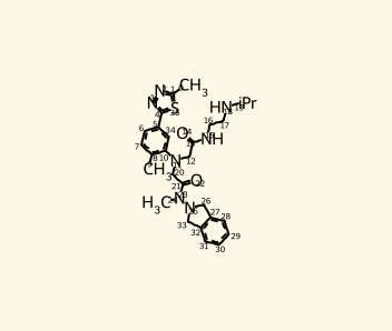 Cc1nnc(-c2ccc(C)c(N(CC(=O)NCCNC(C)C)CC(=O)N(C)N3Cc4ccccc4C3)c2)s1